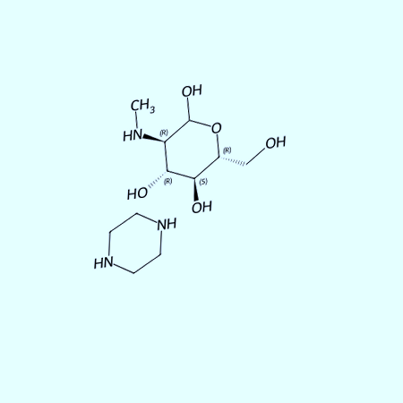 C1CNCCN1.CN[C@H]1C(O)O[C@H](CO)[C@@H](O)[C@@H]1O